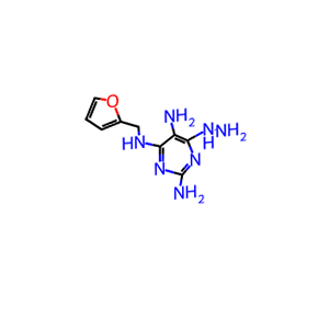 NNc1nc(N)nc(NCc2ccco2)c1N